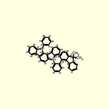 CC1(C)c2ccccc2-c2c(-c3ccccc3-n3c4ccccc4c4c3ccc3c5ccccc5n(-c5ccccc5)c34)cccc21